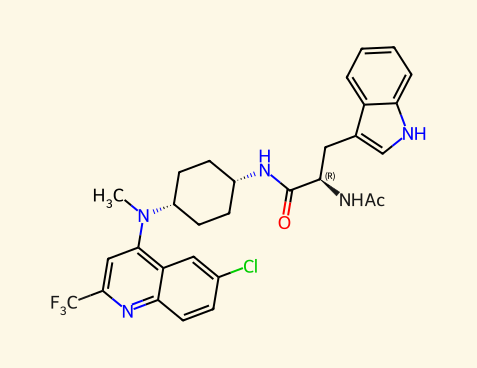 CC(=O)N[C@H](Cc1c[nH]c2ccccc12)C(=O)N[C@H]1CC[C@@H](N(C)c2cc(C(F)(F)F)nc3ccc(Cl)cc23)CC1